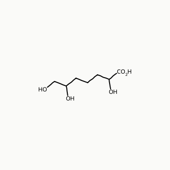 O=C(O)C(O)CCCC(O)CO